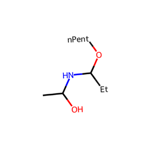 CCCCCOC(CC)NC(C)O